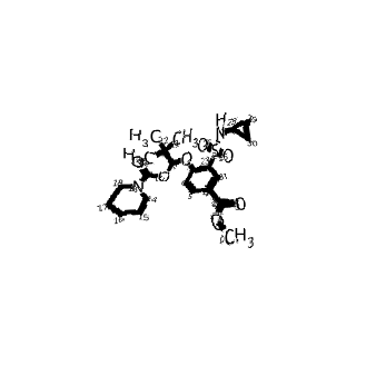 COC(=O)c1ccc(OC(OC(=O)N2CCCCC2)C(C)(C)C)c(S(=O)(=O)NC2CC2)c1